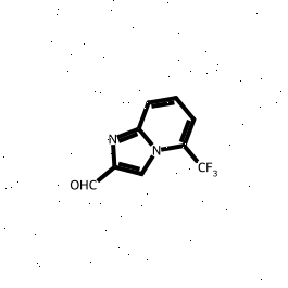 O=Cc1cn2c(C(F)(F)F)cccc2n1